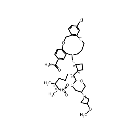 COC1CN([C@H]2CO[C@@H]([C@H](CCC[C@H](C)[C@@H](C)[SH](=O)=O)[C@@H]3CC[C@H]3CN3CCCCc4cc(Cl)ccc4COc4ccc(C(N)=O)cc43)OC2)C1